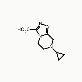 O=C(O)c1nnc2n1CCN(C1CC1)C2